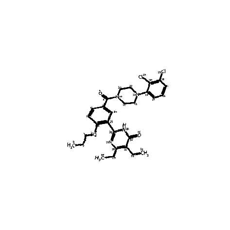 CCCOc1ccc(C(=O)N2CCN(c3cccc(Cl)c3Cl)CC2)cc1-c1nc(CC)c(CC)c(=O)[nH]1